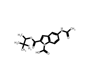 CC(=O)Nc1ccc2c(c1)cc(C(=O)OC(C)C(C)(C)C)n2C(=O)O